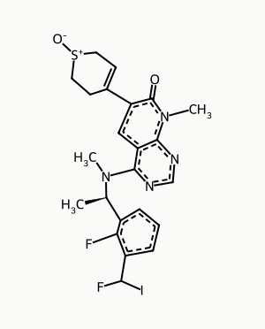 C[C@H](c1cccc(C(F)I)c1F)N(C)c1ncnc2c1cc(C1=CC[S+]([O-])CC1)c(=O)n2C